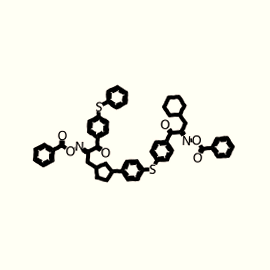 O=C(O/N=C(\CC1CCCCC1)C(=O)c1ccc(Sc2ccc(C3CCC(C/C(=N\OC(=O)c4ccccc4)C(=O)c4ccc(Sc5ccccc5)cc4)C3)cc2)cc1)c1ccccc1